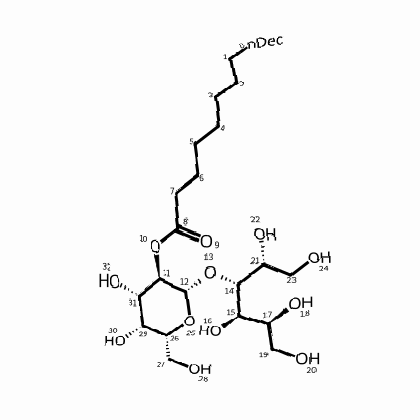 CCCCCCCCCCCCCCCCCC(=O)O[C@H]1[C@H](O[C@@H]([C@H](O)[C@@H](O)CO)[C@H](O)CO)O[C@H](CO)[C@H](O)[C@@H]1O